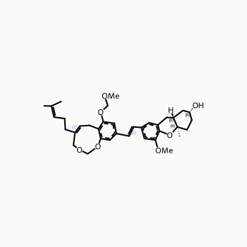 COCOc1cc(/C=C/c2cc3c(c(OC)c2)O[C@]2(C)CC[C@@H](O)C[C@H]2C3)cc2c1C/C=C(/CCC=C(C)C)COCO2